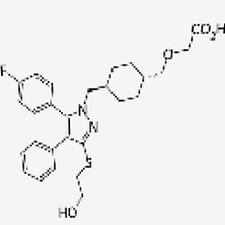 O=C(O)COC[C@H]1CC[C@H](Cn2nc(SCCO)c(-c3ccccc3)c2-c2ccc(F)cc2)CC1